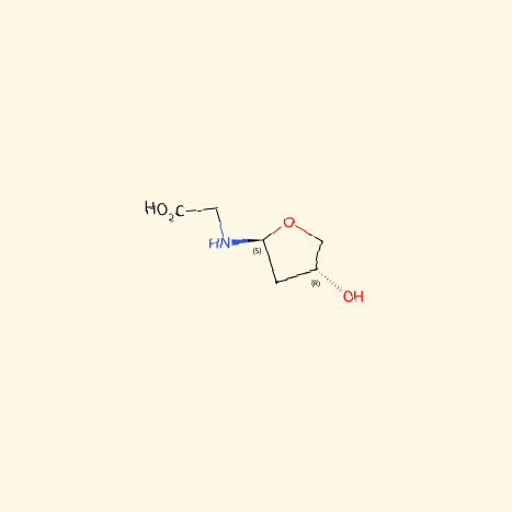 O=C(O)CN[C@@H]1C[C@@H](O)CO1